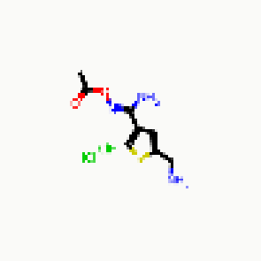 CC(=O)ON=C(N)c1csc(CN)c1.Cl.Cl